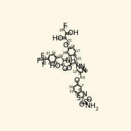 NS(=O)(=O)c1nc2cc(OCc3cn(C(Cc4ccc(OC[C@H](O)[C@@H](O)CF)cc4)C(=O)NC(Cc4ccc(C(F)(F)F)cc4)C(=O)O)nn3)ccc2s1